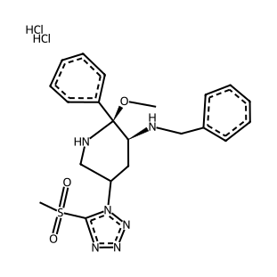 CO[C@]1(c2ccccc2)NCC(n2nnnc2S(C)(=O)=O)C[C@@H]1NCc1ccccc1.Cl.Cl